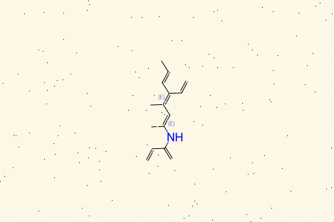 C=CC(=C)N/C(C)=C/C(C)=C(\C=C)C=CC